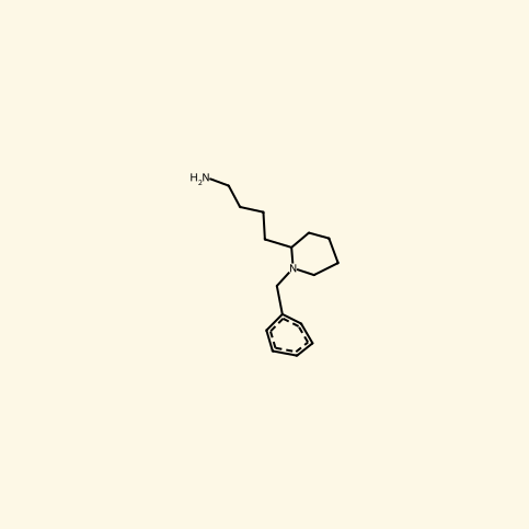 NCCCCC1CCCCN1Cc1ccccc1